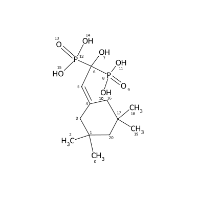 CC1(C)CC(=CC(O)(P(=O)(O)O)P(=O)(O)O)CC(C)(C)C1